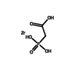 O=C(O)CP(=O)(O)O.[Zr]